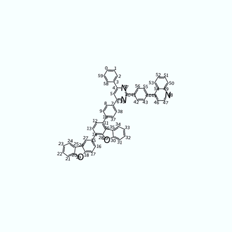 c1ccc(-c2cc(-c3ccc(-c4ccc(-c5ccc6oc7ccccc7c6c5)c5oc6ccccc6c45)cc3)nc(-c3ccc(-c4ccnc5ccccc45)cc3)n2)cc1